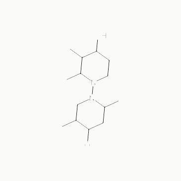 CC1CN(N2CCC(O)C(C)C2C)C(C)CC1O